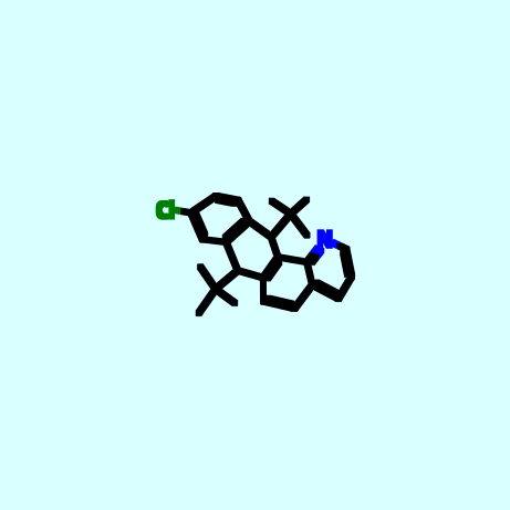 CC(C)(C)C1c2cc(Cl)ccc2C(C(C)(C)C)c2c1ccc1cccnc21